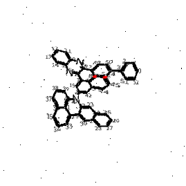 c1ccc(-c2ccc(-c3nc4ccccc4nc3-c3cc(N4c5cc6ccccc6cc5-c5cccc6cccc4c56)cc4ccccc34)cc2)cc1